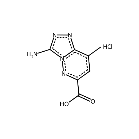 Cc1cc(C(=O)O)nn2c(N)nnc12.Cl